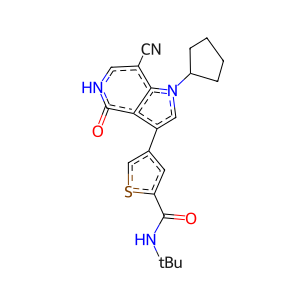 CC(C)(C)NC(=O)c1cc(-c2cn(C3CCCC3)c3c(C#N)c[nH]c(=O)c23)cs1